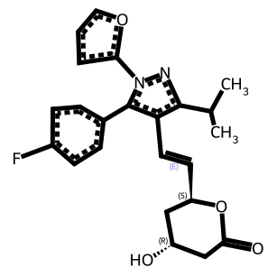 CC(C)c1nn(-c2ccco2)c(-c2ccc(F)cc2)c1/C=C/[C@@H]1C[C@@H](O)CC(=O)O1